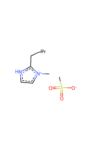 CC(C)Cc1[nH]cc[n+]1C.CS(=O)(=O)[O-]